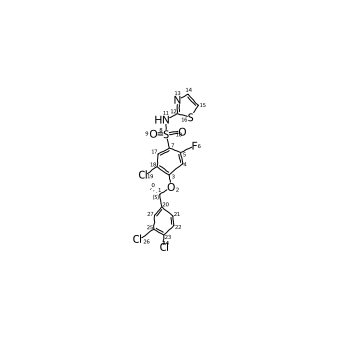 C[C@H](Oc1cc(F)c(S(=O)(=O)Nc2nccs2)cc1Cl)c1ccc(Cl)c(Cl)c1